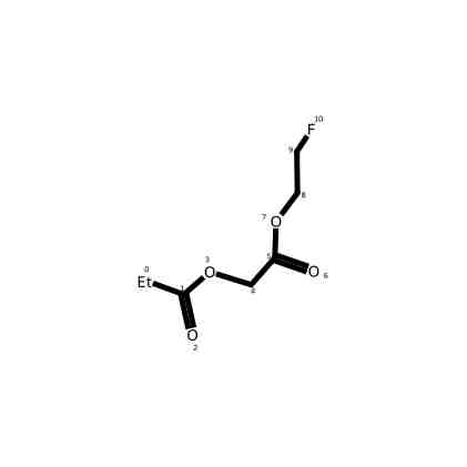 CCC(=O)OCC(=O)OCCF